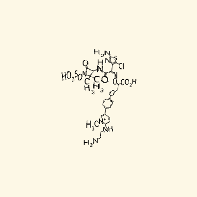 C[n+]1cc(-c2ccc(OCC(O/N=C(\C(=O)N[C@@H]3C(=O)N(OS(=O)(=O)O)C3(C)C)c3nc(N)sc3Cl)C(=O)O)cc2)ccc1NCCN